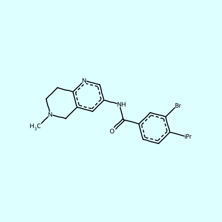 CC(C)c1ccc(C(=O)Nc2cnc3c(c2)CN(C)CC3)cc1Br